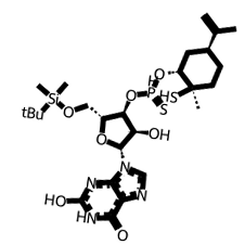 C=C(C)[C@H]1CC[C@@](C)(S)[C@H](O[PH](=S)O[C@H]2[C@@H](O)[C@H](n3cnc4c(=O)[nH]c(O)nc43)O[C@@H]2CO[Si](C)(C)C(C)(C)C)C1